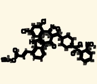 CC(C)(C)OC(=O)/C=C/c1cccc2c(C(=O)c3c(-c4c(Cl)cc(Cl)cc4Cl)noc3C3CCN(S(=O)(=O)c4ccccc4[N+](=O)[O-])CC3)c[nH]c12